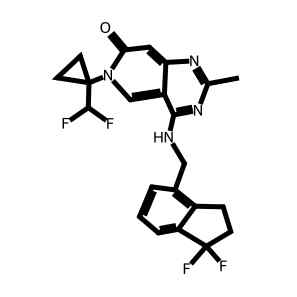 Cc1nc(NCc2cccc3c2CCC3(F)F)c2cn(C3(C(F)F)CC3)c(=O)cc2n1